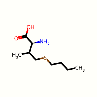 CCCCSCC(C)[C@H](N)C(=O)O